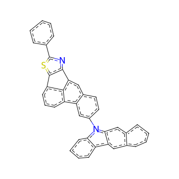 c1ccc(-c2nc3c(s2)-c2cccc4c2c-3cc2ccc(-n3c5ccccc5c5cc6ccccc6cc53)cc24)cc1